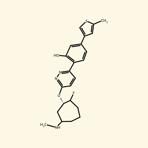 CNC1CCCC(F)[C@@H](Oc2ccc(-c3ccc(-c4csc(C)c4)cc3O)nn2)C1